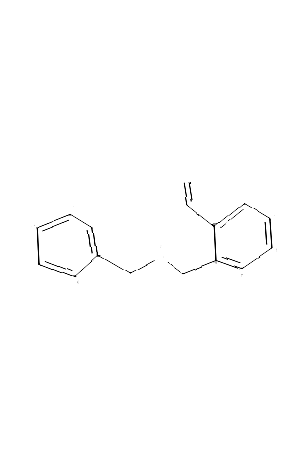 O=Cc1ccccc1COCc1ccccc1